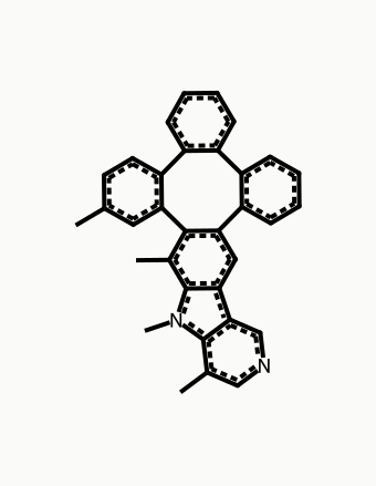 Cc1ccc2c(c1)-c1c(cc3c4cncc(C)c4n(C)c3c1C)-c1ccccc1-c1ccccc1-2